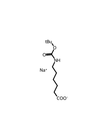 CC(C)(C)OC(=O)NCCCCCC(=O)[O-].[Na+]